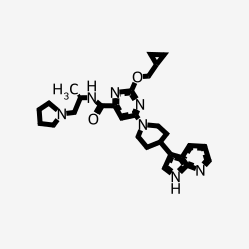 C[C@H](CN1CCCC1)NC(=O)c1cc(N2CCC(c3c[nH]c4ncccc34)CC2)nc(OCC2CC2)n1